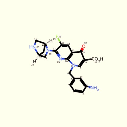 Nc1cccc(Cn2cc(C(=O)O)c(=O)c3cc(F)c(N4C[C@@H]5C[C@H]4CN5)nc32)c1